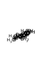 COC(=O)OC(C(C)C)C1C[C@@H](C)C2C(C[C@@]3(C)C4CCC5C(C)(C)C(O)CCC56CC46CCC23C)O1